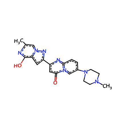 Cc1cn2nc(-c3cc(=O)n4cc(N5CCN(C)CC5)ccc4n3)cc2c(O)n1